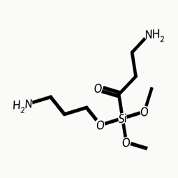 CO[Si](OC)(OCCCN)C(=O)CCN